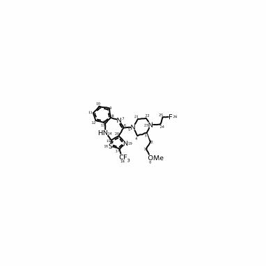 COCC[C@H]1CN(C2=Nc3ccccc3Nc3sc(C(F)(F)F)nc32)CCN1CCF